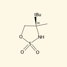 CC(C)(C)[C@]1(C)COS(=O)(=O)N1